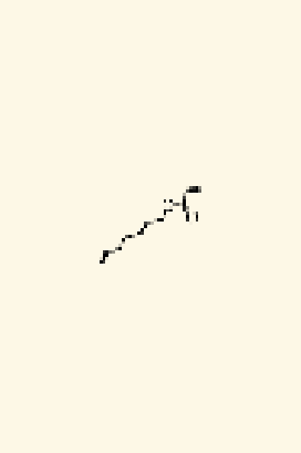 C=CCCCCCOC(=O)C=C